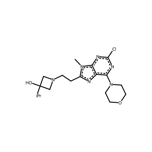 CC(C)C1(O)CN(CCc2nc3c(N4CCOCC4)nc(Cl)nc3n2C)C1